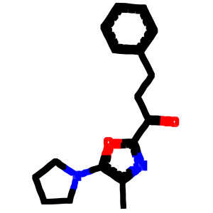 Cc1nc(C(=O)CCc2ccccc2)oc1N1CCCC1